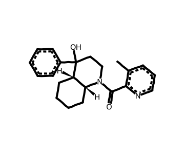 Cc1cccnc1C(=O)N1CCC(O)(c2ccccc2)[C@H]2CCCC[C@H]21